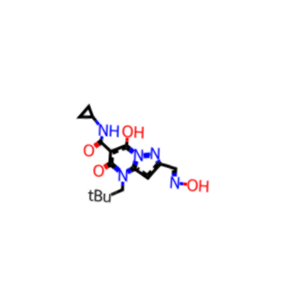 CC(C)(C)Cn1c(=O)c(C(=O)NC2CC2)c(O)n2nc(/C=N/O)cc12